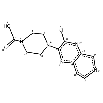 O=C(O)N1CCN(c2nc3ccncc3nc2Cl)CC1